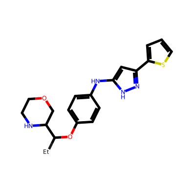 CCC(Oc1ccc(Nc2cc(-c3cccs3)n[nH]2)cc1)C1COCCN1